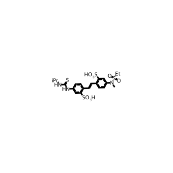 CCS(=O)(=O)N(C)c1ccc(/C=C/c2ccc(NC(=S)NC(C)C)cc2S(=O)(=O)O)c(S(=O)(=O)O)c1